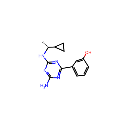 C[C@@H](Nc1nc(N)nc(-c2cccc(O)c2)n1)C1CC1